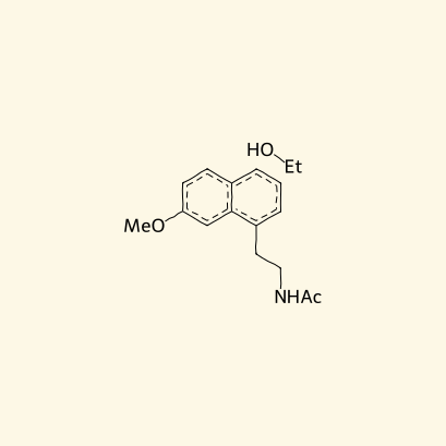 CCO.COc1ccc2cccc(CCNC(C)=O)c2c1